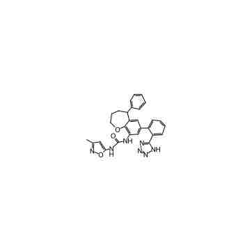 Cc1cc(NC(=O)Nc2cc(-c3ccccc3-c3nnn[nH]3)cc3c2OCCCC3c2ccccc2)on1